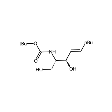 CCCC/C=C/[C@@H](O)[C@H](CO)NC(=O)OC(C)(C)C